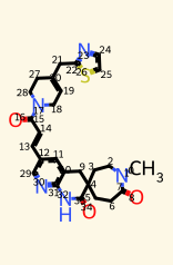 CN1CCC2(CCC1=O)Cc1cc(C=CC(=O)N3CC=C(Cc4nccs4)CC3)cnc1NC2=O